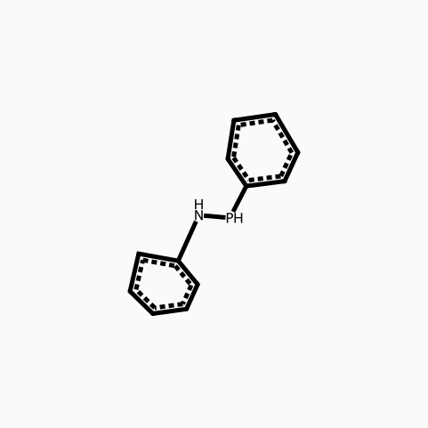 c1ccc(NPc2ccccc2)cc1